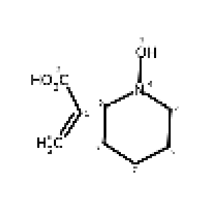 C=CC(=O)O.ON1CCCCC1